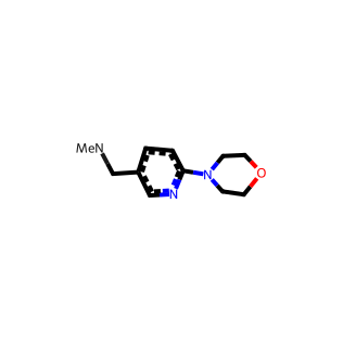 CNCc1ccc(N2CCOCC2)nc1